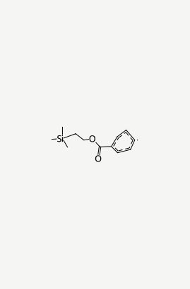 C[Si](C)(C)CCOC(=O)c1cc[c]cc1